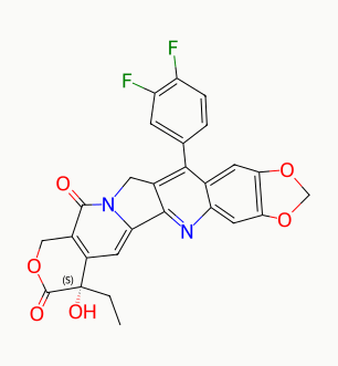 CC[C@@]1(O)C(=O)OCc2c1cc1n(c2=O)Cc2c-1nc1cc3c(cc1c2-c1ccc(F)c(F)c1)OCO3